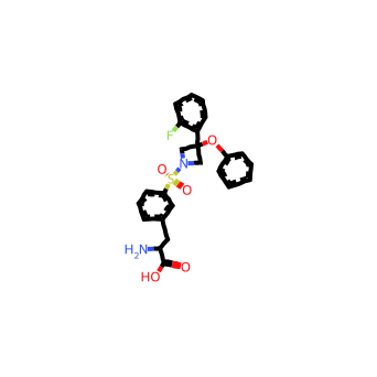 NC(Cc1cccc(S(=O)(=O)N2CC(Oc3ccccc3)(c3ccccc3F)C2)c1)C(=O)O